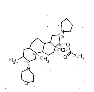 CC(=O)O[C@H]1[C@@H](N2CCCC2)CC2C3CCC4CC(C)[C@@H](N5CCOCC5)C[C@]4(C)C3CC[C@@]21C